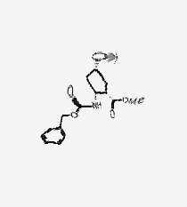 COC(=O)[C@H]1C[C@@H](O)C[C@H]1NC(=O)OCc1ccccc1